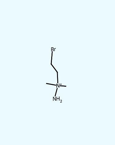 C[N+](C)(N)CCBr